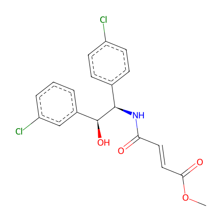 COC(=O)C=CC(=O)N[C@H](c1ccc(Cl)cc1)[C@@H](O)c1cccc(Cl)c1